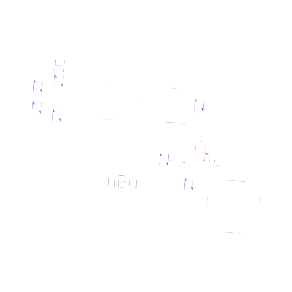 CCCCc1cn(C2CCCCCCC2C(C)=O)c(=O)n1Cc1cnccc1-c1ccc(-c2nnn[nH]2)cc1